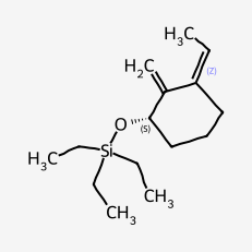 C=C1/C(=C\C)CCC[C@@H]1O[Si](CC)(CC)CC